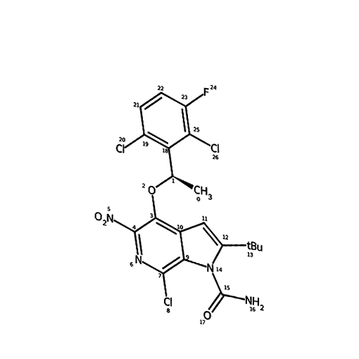 C[C@@H](Oc1c([N+](=O)[O-])nc(Cl)c2c1cc(C(C)(C)C)n2C(N)=O)c1c(Cl)ccc(F)c1Cl